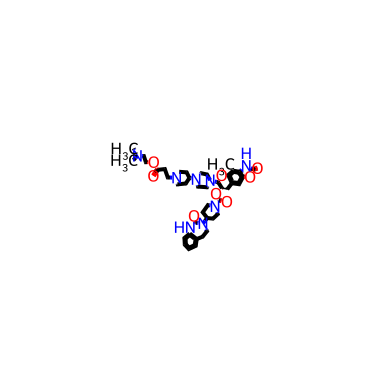 Cc1cc(C[C@@H](OC(=O)N2CCC(N3CCc4ccccc4NC3=O)CC2)C(=O)N2CCN(C3CCN(CCC(=O)OCCN(C)C)CC3)CC2)cc2oc(=O)[nH]c12